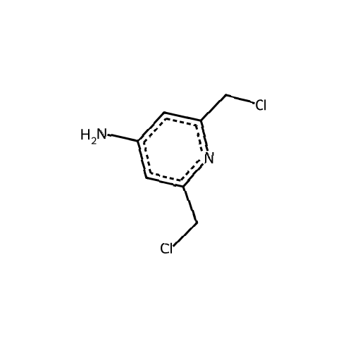 Nc1cc(CCl)nc(CCl)c1